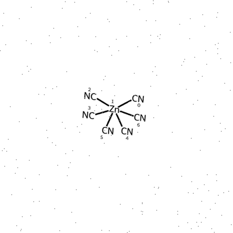 N#[C][Zn]([C]#N)([C]#N)([C]#N)([C]#N)[C]#N